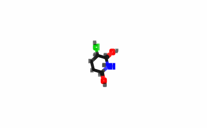 O=C1CCC(Cl)C(=O)N1